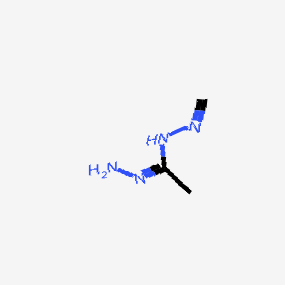 C=NN/C(C)=N\N